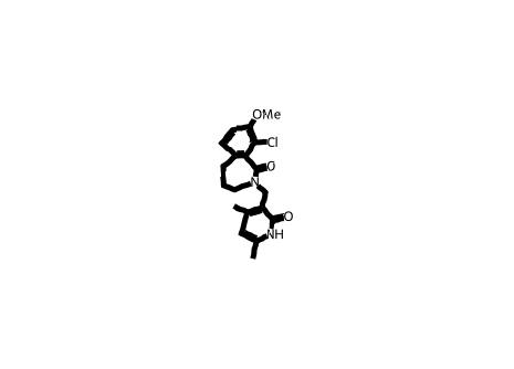 COc1ccc2c(c1Cl)C(=O)N(Cc1c(C)cc(C)[nH]c1=O)CCC2